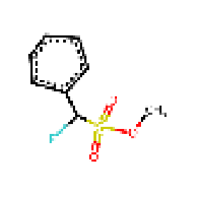 COS(=O)(=O)C(F)c1ccccc1